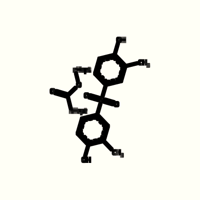 CCCCCCCOC(=O)CCCCCCC.Cc1cc(S(=O)(=O)c2ccc(O)c(C)c2)ccc1O